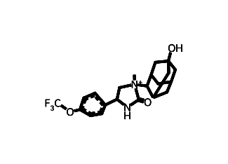 C[N+]1(C2C3CC4CC2CC(O)(C4)C3)CC(c2ccc(OC(F)(F)F)cc2)NC1=O